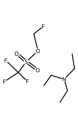 CCN(CC)CC.O=S(=O)(OCF)C(F)(F)F